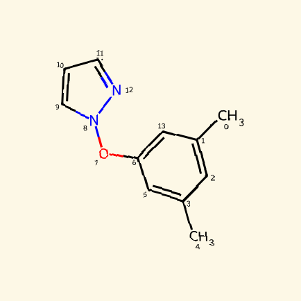 Cc1cc(C)cc(On2cc[c]n2)c1